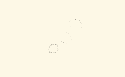 Cc1cc(C2CCC(C3CCC(C)CC3)CC2)cc(C)c1F